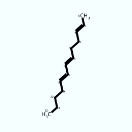 CC=CCCC=CC=CCCCC